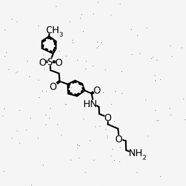 Cc1ccc(S(=O)(=O)CCC(=O)c2ccc(C(=O)NCCOCCOCCN)cc2)cc1